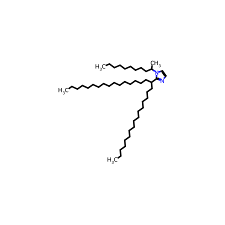 CCCCCCCCCCCCCCCCC(CCCCCCCCCCCCCCCC)c1nccn1C(C)CCCCCCCCC